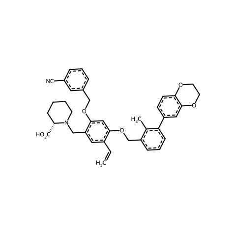 C=Cc1cc(CN2CCCC[C@H]2C(=O)O)c(OCc2cccc(C#N)c2)cc1OCc1cccc(-c2ccc3c(c2)OCCO3)c1C